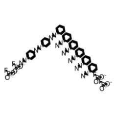 N#[N+]c1ccccc1.N#[N+]c1ccccc1.N#[N+]c1ccccc1.N#[N+]c1ccccc1.N#[N+]c1ccccc1.N#[N+]c1ccccc1.N#[N+]c1ccccc1.N#[N+]c1ccccc1.[O-]B([O-])F.[O-]B([O-])F.[O-]B([O-])F.[O-]B([O-])F